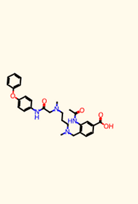 CC(=O)Nc1cc(C(=O)O)ccc1CN(C)CCCN(C)CC(=O)Nc1ccc(Oc2ccccc2)cc1